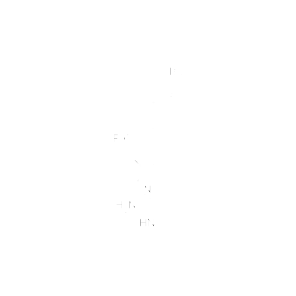 C=C(/N=C(\N)C1CCCN1)c1ccc(C#Cc2ccc(C(C)(C)C)cc2)c(C(F)(F)F)c1